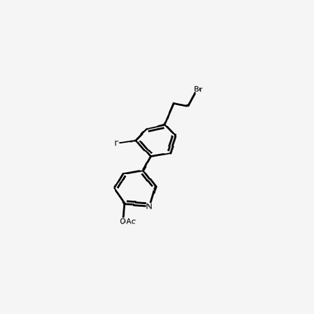 CC(=O)Oc1ccc(-c2ccc(CCBr)cc2F)cn1